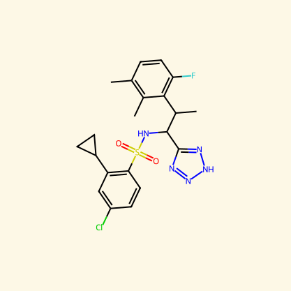 Cc1ccc(F)c(C(C)C(NS(=O)(=O)c2ccc(Cl)cc2C2CC2)c2nn[nH]n2)c1C